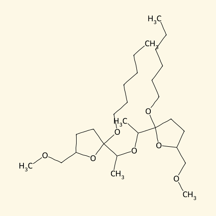 CCCCCCOC1(C(C)OC(C)C2(OCCCCCC)CCC(COC)O2)CCC(COC)O1